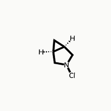 ClN1C[C@H]2C[C@H]2C1